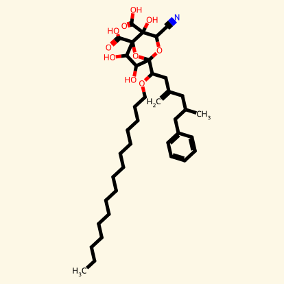 C=C(CC(C)Cc1ccccc1)CC(OCCCCCCCCCCCCCCCC)C12OC(C#N)C(O)(C(=O)O)C(C(=O)O)(O1)C(O)C2O